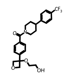 O=C(c1ccc(C2(OCCO)COC2)cc1)N1CCC(c2ccc(C(F)(F)F)cc2)CC1